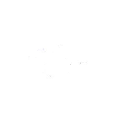 CCCCCCCC(=O)OC(CO)(C(N)=O)C(=O)CCCCCCC